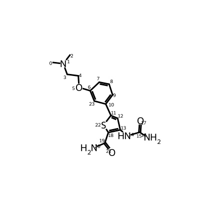 CN(C)CCOc1cccc(-c2cc(NC(N)=O)c(C(N)=O)s2)c1